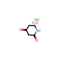 Cl.O.O=C1CCNC(=O)C1